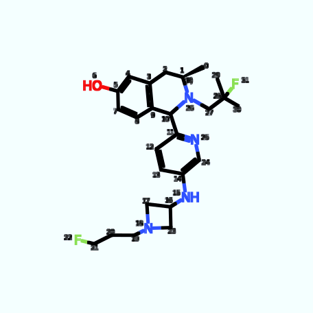 C[C@@H]1Cc2cc(O)ccc2C(c2ccc(NC3CN(CCCF)C3)cn2)N1CC(C)(C)F